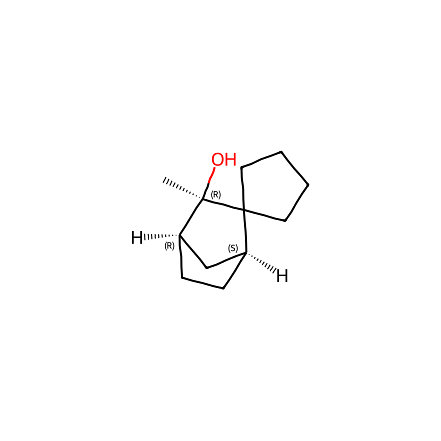 C[C@@]1(O)[C@@H]2CC[C@@H](C2)C12CCCC2